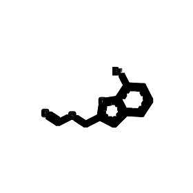 O=COCc1cc2cccc(Br)c2o1